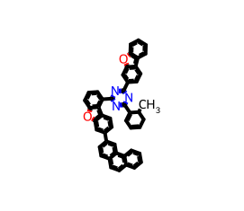 CC1CC=CC=C1c1nc(-c2ccc3c(c2)oc2ccccc23)nc(-c2cccc3oc4cc(-c5ccc6ccc7ccccc7c6c5)ccc4c23)n1